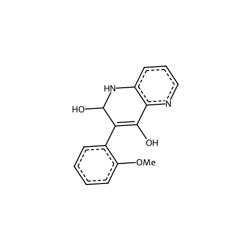 COc1ccccc1C1=C(O)c2ncccc2NC1O